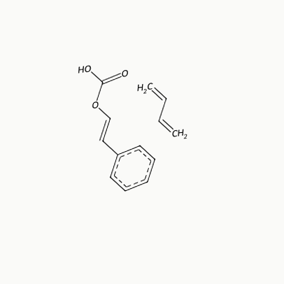 C=CC=C.O=C(O)OC=Cc1ccccc1